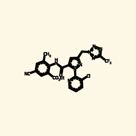 CCOC(=O)c1cc(C#N)cc(C)c1NC(=O)c1cc(Cn2nnc(C(F)(F)F)n2)nn1-c1ncccc1Cl